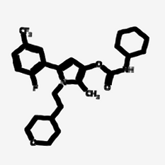 Cc1c(OC(=O)NC2CCCCC2)cc(-c2cc(C(F)(F)F)ccc2F)n1CCC1CCOCC1